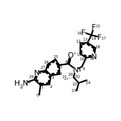 Cc1cc2cc(C(=O)N(Cc3ccc(C(F)(F)F)cn3)[C@@H](C)C(C)C)ccc2nc1N